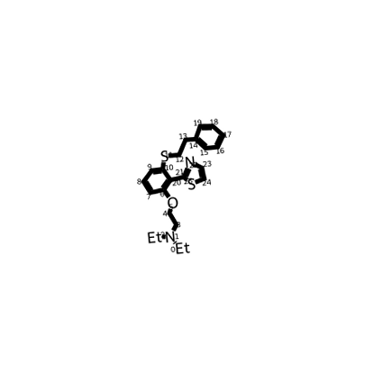 CCN(CC)CCOc1cccc(SCCc2ccccc2)c1-c1nccs1